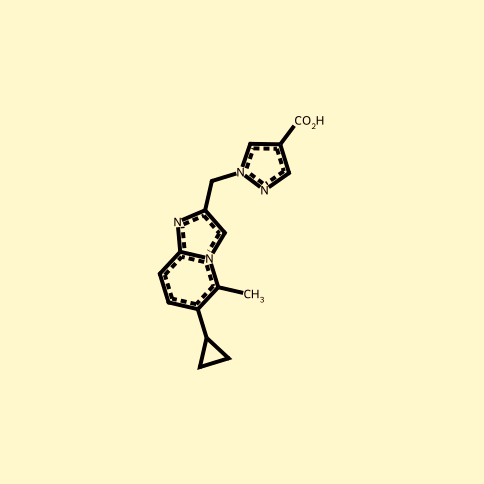 Cc1c(C2CC2)ccc2nc(Cn3cc(C(=O)O)cn3)cn12